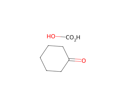 O=C(O)O.O=C1CCCCC1